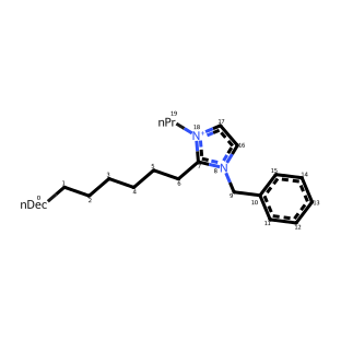 CCCCCCCCCCCCCCCCc1n(Cc2ccccc2)cc[n+]1CCC